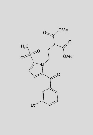 CCc1cccc(C(=O)c2ccc(S(C)(=O)=O)n2CCC(C(=O)OC)C(=O)OC)c1